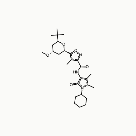 CO[C@@H]1C[C@@H](C(C)(C)C)O[C@@H](c2onc(C(=O)Nc3c(C)n(C)n(C4CCCCC4)c3=O)c2C)C1